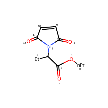 CCCOC(=O)C(CC)N1C(=O)C=CC1=O